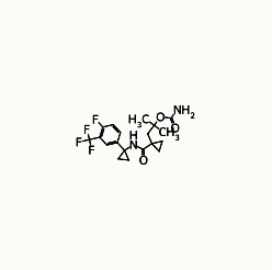 CC(C)(CC1(C(=O)NC2(c3ccc(F)c(C(F)(F)F)c3)CC2)CC1)OC(N)=O